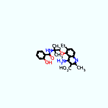 CCc1ccc2nc(C)c(C(=O)O)c(N)c2c1OCC(C)(C)NC(=O)c1ccccc1O